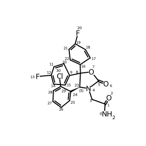 NC(=O)CN1C(=O)OC(c2ccc(F)cc2)(c2ccc(F)cc2)[C@@H]1c1ccccc1Cl